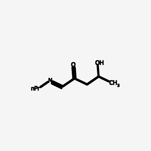 CCCN=CC(=O)CC(C)O